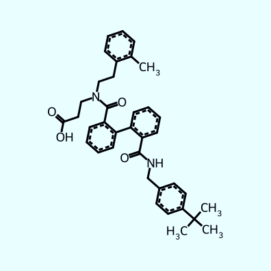 Cc1ccccc1CCN(CCC(=O)O)C(=O)c1ccccc1-c1ccccc1C(=O)NCc1ccc(C(C)(C)C)cc1